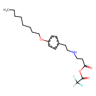 CCCCCCCCOc1ccc(CCNCCC(=O)OC(=O)C(F)(F)F)cc1